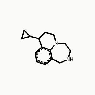 c1cc2c3c(c1)C(C1CC1)CCN3CCNC2